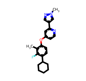 Cc1c(Oc2ccnc(-c3cnn(C)c3)c2)ccc(C2CCCCC2)c1F